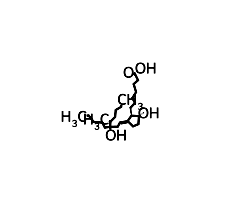 CCCCCC(O)(CC=C1CC[C@@H](O)[C@@H]1CCCCCCC(=O)O)C(C)CCCC